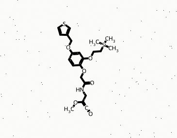 COC(=C=O)CNC(=O)COc1ccc(OCc2ccsc2)cc1OCC[Si](C)(C)C